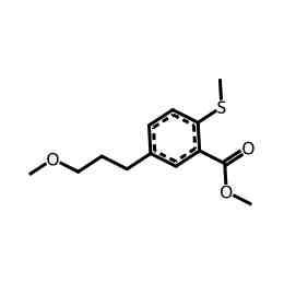 COCCCc1ccc(SC)c(C(=O)OC)c1